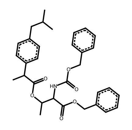 CC(C)Cc1ccc(C(C)C(=O)OC(C)C(NC(=O)OCc2ccccc2)C(=O)OCc2ccccc2)cc1